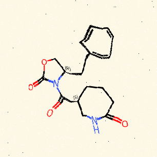 O=C1CCC[C@H](C(=O)N2C(=O)OC[C@H]2Cc2ccccc2)CN1